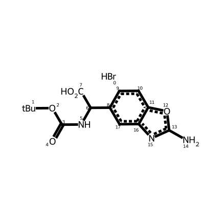 Br.CC(C)(C)OC(=O)NC(C(=O)O)c1ccc2oc(N)nc2c1